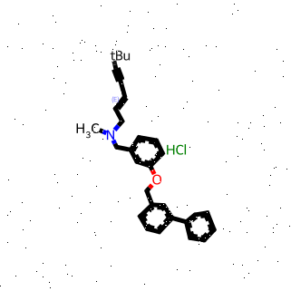 CN(C/C=C/C#CC(C)(C)C)Cc1cccc(OCc2cccc(-c3ccccc3)c2)c1.Cl